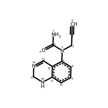 C#CCN(C(N)=O)c1cccc2c1C=NCN2